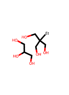 CCC(CO)(CO)CO.OCC(O)CO